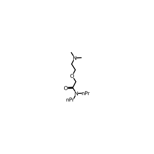 CCCN(CCC)C(=O)COCCN(C)C